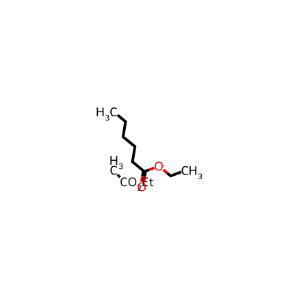 CCCCCC(=O)OCC.CCOC(C)=O